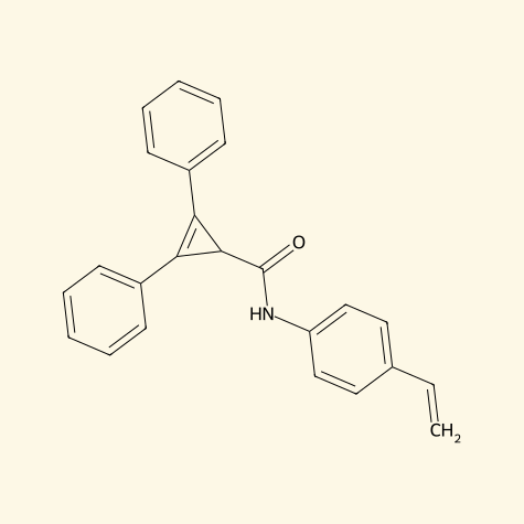 C=Cc1ccc(NC(=O)C2C(c3ccccc3)=C2c2ccccc2)cc1